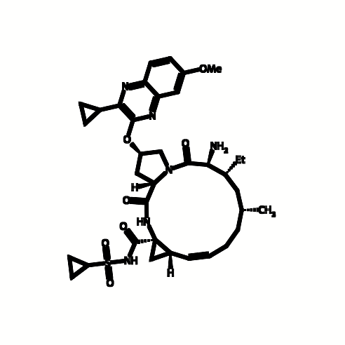 CC[C@@H]1C[C@H](C)CCC=C[C@@H]2C[C@@]2(C(=O)NS(=O)(=O)C2CC2)NC(=O)[C@@H]2C[C@@H](Oc3nc4cc(OC)ccc4nc3C3CC3)CN2C(=O)[C@H]1N